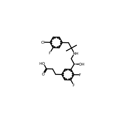 CC(C)(Cc1ccc(Cl)c(F)c1)NC[C@@H](O)c1cc(CCC(=O)O)cc(F)c1F